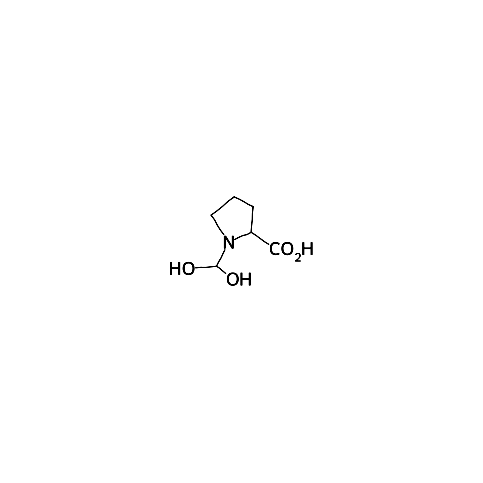 O=C(O)C1CCCN1C(O)O